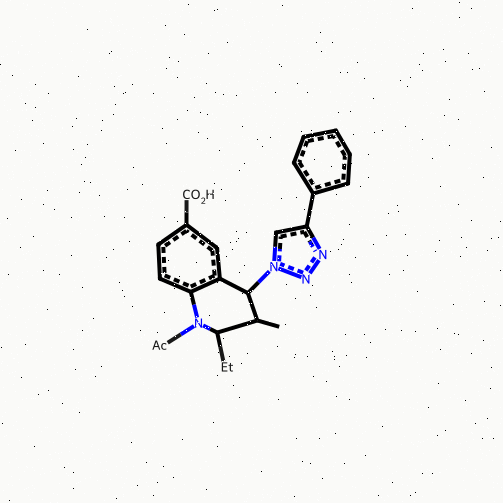 CCC1C(C)C(n2cc(-c3ccccc3)nn2)c2cc(C(=O)O)ccc2N1C(C)=O